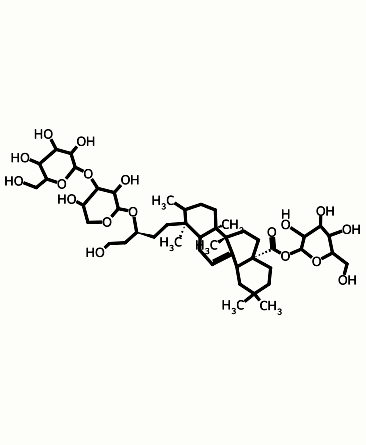 CC1CC[C@]2(C)C(CC=C3C4CC(C)(C)CC[C@]4(C(=O)OC4OC(CO)C(O)C(O)C4O)CC[C@]32C)[C@@]1(C)CC[C@@H](CCO)OC1OCC(O)C(OC2OC(CO)C(O)C(O)C2O)C1O